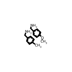 COc1ccc(CN)cc1.Cc1ccc(CN)cc1